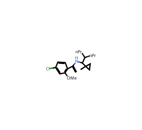 C=C(NC(C(CCC)CCC)C1(C)CC1)c1ccc(Cl)cc1OC